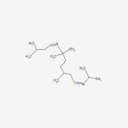 CC(C)C/C=N\C(C)(C)CCC(C)C/C=N\C(C)C